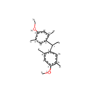 COc1cc(C)c(C(C)c2cc(C)c(OC)cc2C)cc1C